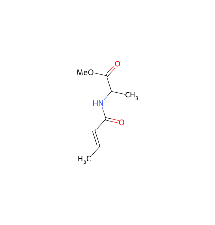 CC=CC(=O)NC(C)C(=O)OC